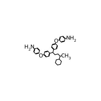 CC(CCC(c1ccc(Oc2ccc(N)cc2)cc1)c1ccc(Oc2ccc(N)cc2)cc1)C1CCCCC1